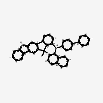 CC1(C)c2cc3c(cc2-c2cccc(N(c4ccc(-c5ccccc5)cc4)c4cccc5ccccc45)c21)oc1ccccc13